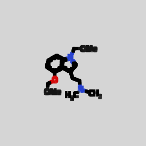 COCOc1cccc2c1c(CCN(C)C)cn2COC